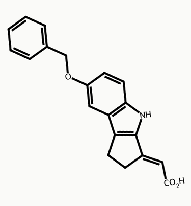 O=C(O)C=C1CCc2c1[nH]c1ccc(OCc3ccccc3)cc21